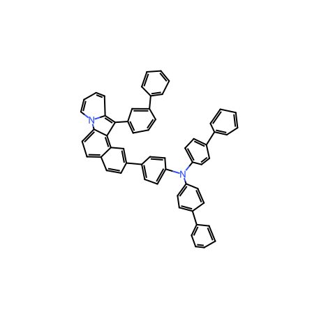 c1ccc(-c2ccc(N(c3ccc(-c4ccccc4)cc3)c3ccc(-c4ccc5ccc6c(c(-c7cccc(-c8ccccc8)c7)c7ccccn76)c5c4)cc3)cc2)cc1